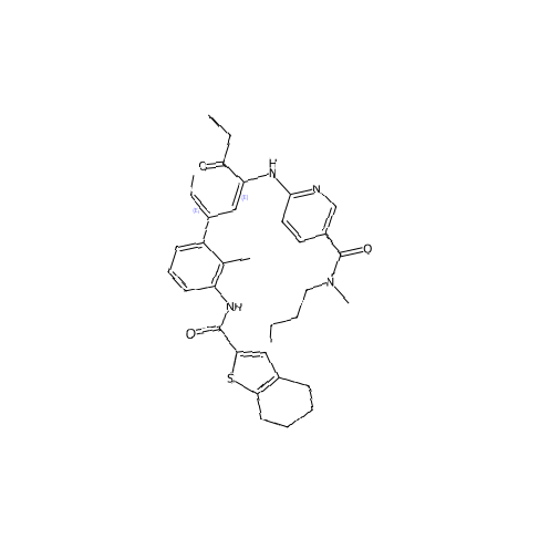 C/C=C(\C=C(\Nc1ccc(C(=O)N(C)CCCC)cn1)C(=O)CC)c1cccc(NC(=O)c2cc3c(s2)CCCC3)c1C